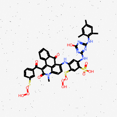 Cc1cc(C)c(Nc2nc(O)nc(Nc3cc(Nc4ccc5c6c4C(=O)c4ccccc4-c6c(C(=O)c4cccc(SOOO)c4)c(=O)n5C)c(SOOO)cc3S(=O)(=O)O)n2)c(C)c1